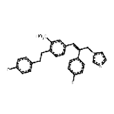 O=C(O)c1cc(C=C(Cn2ccnc2)c2ccc(F)cc2)ccc1CCc1ccc(F)cc1